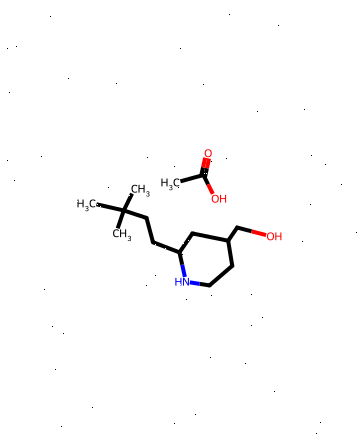 CC(=O)O.CC(C)(C)CCC1CC(CO)CCN1